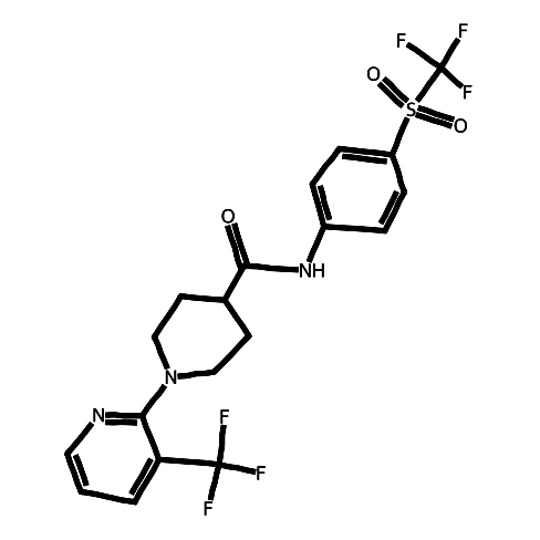 O=C(Nc1ccc(S(=O)(=O)C(F)(F)F)cc1)C1CCN(c2ncccc2C(F)(F)F)CC1